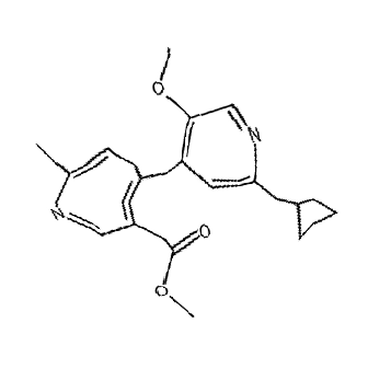 COC(=O)c1cnc(C)cc1-c1cc(C2CC2)ncc1OC